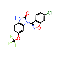 O=c1[nH]c2ccc(OC(F)(F)F)cc2n1-c1noc2cc(Cl)ccc12